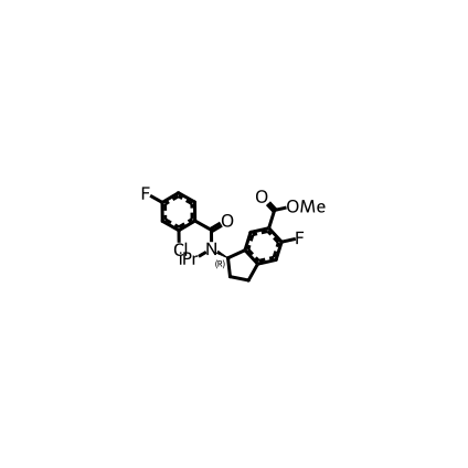 COC(=O)c1cc2c(cc1F)CC[C@H]2N(C(=O)c1ccc(F)cc1Cl)C(C)C